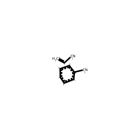 C=CC#N.N#Cc1ccccc1